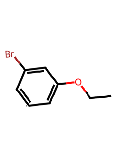 CCOc1c[c]cc(Br)c1